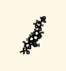 C[C@@H]1CC(C(=O)C(C)(C)C)OC2C1[C@@]1(C)CCC34C[C@@]35CC[C@H](O[C@H]3CN(C6COC6)CCO3)C(C)(C)[C@@H]5CC[C@H]4[C@]1(C)[C@H]2O